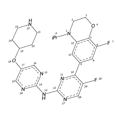 CC(C)N1CCOc2c(F)cc(-c3nc(Nc4ncc(OC5CCNCC5)cn4)ncc3F)cc21